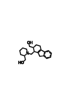 OCC1CCC2=C(Cc3ccccc32)C1CN1CCCCC1CO